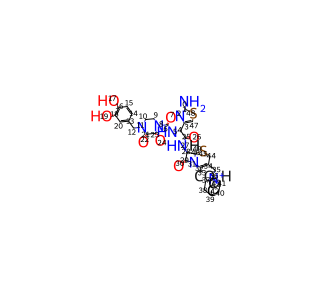 Nc1nc([C@@H](NC(=O)N2CCN(Cc3ccc(O)c(O)c3)C(=O)C2=O)C(=O)N[C@@H]2C(=O)N3C(C(=O)O)=C(C[N+]45CCC(CC4)CC5)CS[C@H]23)cs1